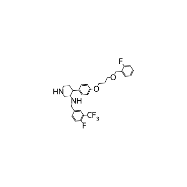 Fc1ccccc1COCCCOc1ccc(C2CCNCC2NCc2ccc(F)c(C(F)(F)F)c2)cc1